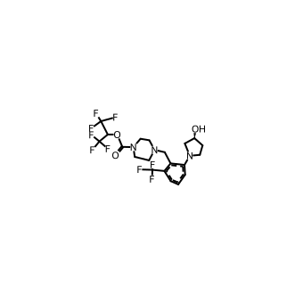 O=C(OC(C(F)(F)F)C(F)(F)F)N1CCN(Cc2c(N3CC[C@H](O)C3)cccc2C(F)(F)F)CC1